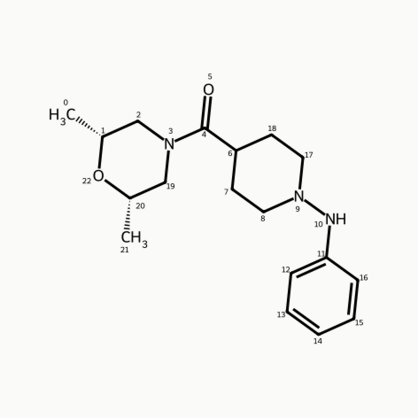 C[C@@H]1CN(C(=O)C2CCN(Nc3ccccc3)CC2)C[C@H](C)O1